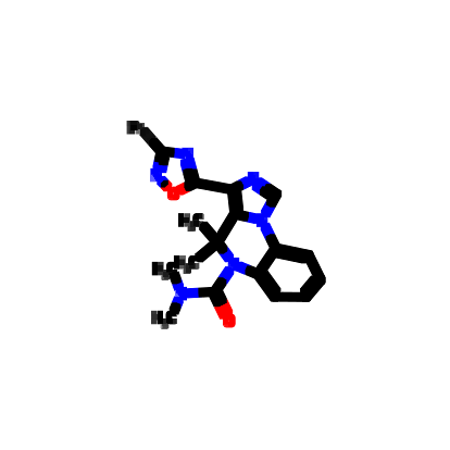 CC(C)c1noc(-c2ncn3c2C(C)(C)N(C(=O)N(C)C)c2ccccc2-3)n1